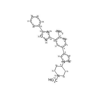 Nc1ncc(-c2cnn(C3CCN(C(=O)O)CC3)c2)cc1-c1noc(-c2ccccc2)n1